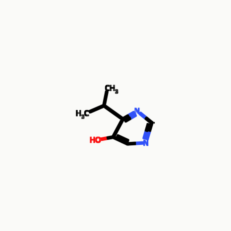 CC(C)c1n[c]ncc1O